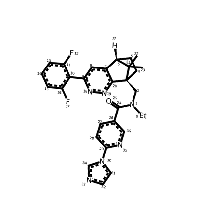 CCN(C[C@@]12CC[C@@H](c3cc(-c4c(F)cccc4F)nnc31)C2(C)C)C(=O)c1ccc(-n2ccnc2)nc1